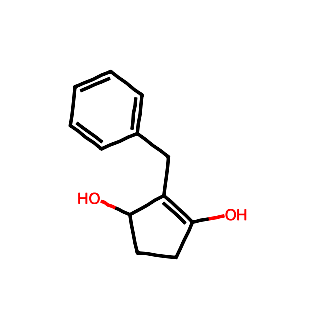 OC1=C(Cc2ccccc2)C(O)CC1